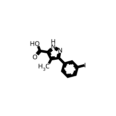 Cc1c(-c2cccc(I)c2)n[nH]c1C(=O)O